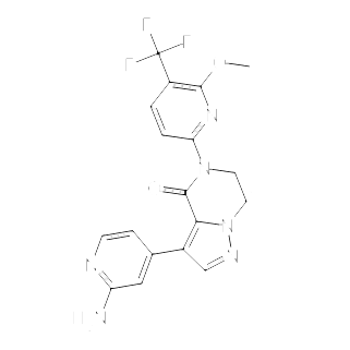 COc1nc(N2C[C@H](C)n3ncc(-c4ccnc(N)c4)c3C2=O)ccc1C(F)(F)F